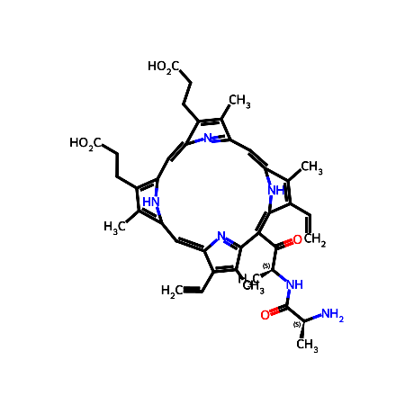 C=CC1=C(C)c2nc1cc1[nH]c(cc3nc(cc4[nH]c(c(C=C)c4C)c2C(=O)[C@H](C)NC(=O)[C@H](C)N)C(C)=C3CCC(=O)O)c(CCC(=O)O)c1C